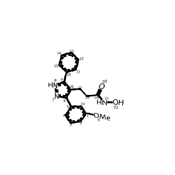 COc1cccc(-c2n[nH]c(-c3ccccc3)c2CCC(=O)NO)c1